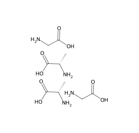 C[C@H](N)C(=O)O.C[C@H](N)C(=O)O.NCC(=O)O.NCC(=O)O